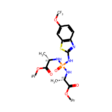 CC(C)OC(=O)[C@H](C)NP(=O)(Nc1nc2ccc(OC(F)(F)F)cc2s1)N[C@@H](C)C(=O)OC(C)C